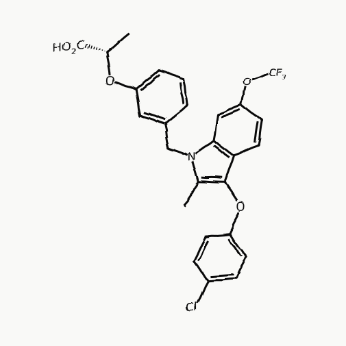 Cc1c(Oc2ccc(Cl)cc2)c2ccc(OC(F)(F)F)cc2n1Cc1cccc(O[C@@H](C)C(=O)O)c1